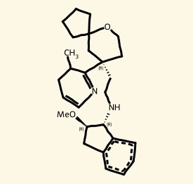 CO[C@@H]1Cc2ccccc2[C@H]1NCC[C@@]1(C2=NC=CCC2C)CCOC2(CCCC2)C1